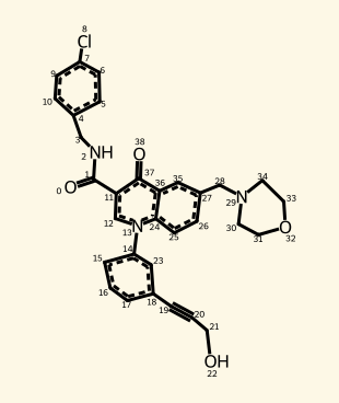 O=C(NCc1ccc(Cl)cc1)c1cn(-c2cccc(C#CCO)c2)c2ccc(CN3CCOCC3)cc2c1=O